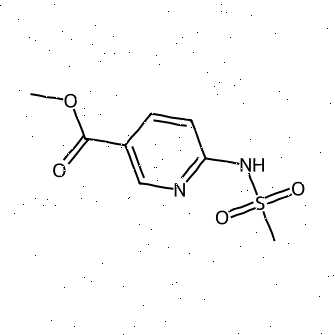 COC(=O)c1ccc(NS(C)(=O)=O)nc1